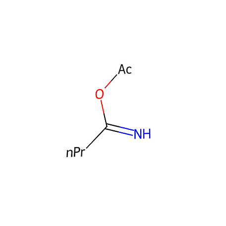 CCCC(=N)OC(C)=O